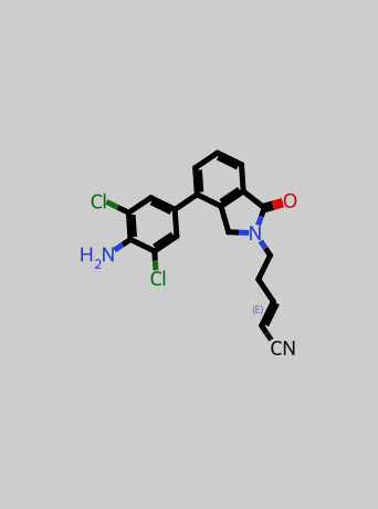 N#C/C=C/CCN1Cc2c(cccc2-c2cc(Cl)c(N)c(Cl)c2)C1=O